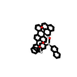 c1ccc(-c2ccc3c4c(cccc24)C2(c4cc(N(c5ccc6ccccc6c5)c5ccc6c(c5)oc5ccccc56)ccc4-c4cccc5cccc2c45)c2ccccc2-3)cc1